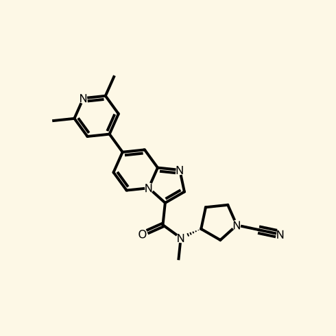 Cc1cc(-c2ccn3c(C(=O)N(C)[C@@H]4CCN(C#N)C4)cnc3c2)cc(C)n1